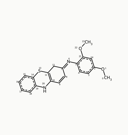 COc1ccc(N=C2C=CC3=C(C2)Sc2ccccc2N3)c(OC)c1